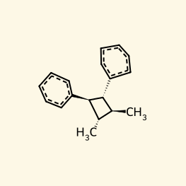 C[C@H]1[C@H](C)[C@@H](c2ccccc2)[C@@H]1c1ccccc1